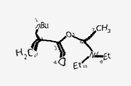 C=C(CCCC)C(=O)OC(C)N(CC)CC